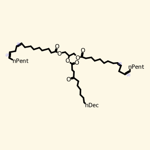 CCCCC/C=C\C/C=C\CCCCCCCC(=O)OCC(COC(=O)CCCCCCC/C=C\C/C=C\CCCCC)OC(=O)CCC(=O)CCCCCCCCCCCCCCCC